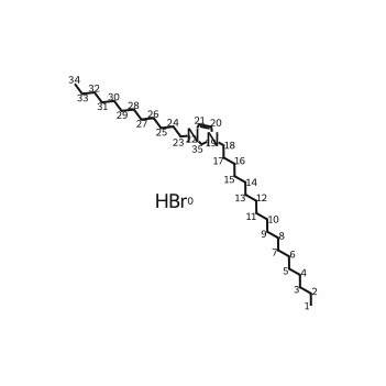 Br.CCCCCCCCCCCCCCCCCCN1C=CN(CCCCCCCCCCCC)C1